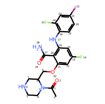 CC(=O)N1CCNCC1COc1cc(F)cc(Nc2ccc(I)cc2F)c1C(N)=O